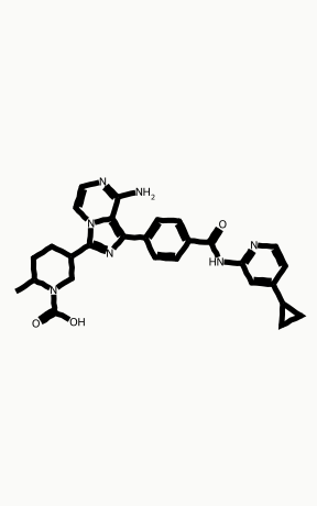 CC1CCC(c2nc(-c3ccc(C(=O)Nc4cc(C5CC5)ccn4)cc3)c3c(N)nccn23)CN1C(=O)O